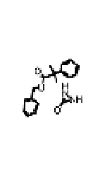 CC(C)(C(=O)OCc1ccccc1)c1ccccc1.O=C1NN1